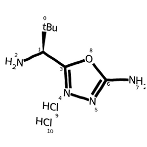 CC(C)(C)[C@H](N)c1nnc(N)o1.Cl.Cl